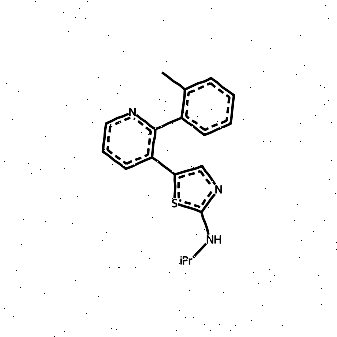 Cc1ccccc1-c1ncccc1-c1cnc(NC(C)C)s1